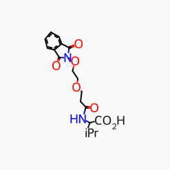 CC(C)C(NC(=O)CCOCCON1C(=O)c2ccccc2C1=O)C(=O)O